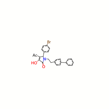 CC(=O)C1=C(O)C(=O)N(CCc2ccc(-c3ccccc3)cc2)C1c1ccc(Br)cc1